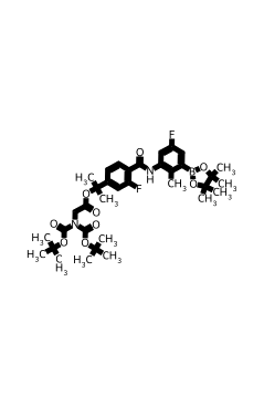 Cc1c(NC(=O)c2ccc(C(C)(C)OC(=O)CN(C(=O)OC(C)(C)C)C(=O)OC(C)(C)C)cc2F)cc(F)cc1B1OC(C)(C)C(C)(C)O1